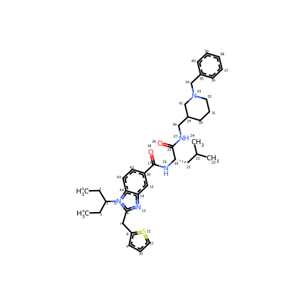 CCC(CC)n1c(Cc2cccs2)nc2cc(C(=O)N[C@@H](CC(C)C)C(=O)NCC3CCCN(Cc4ccccc4)C3)ccc21